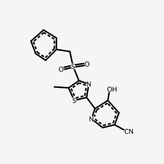 Cc1sc(-c2ncc(C#N)cc2O)nc1S(=O)(=O)Cc1ccccc1